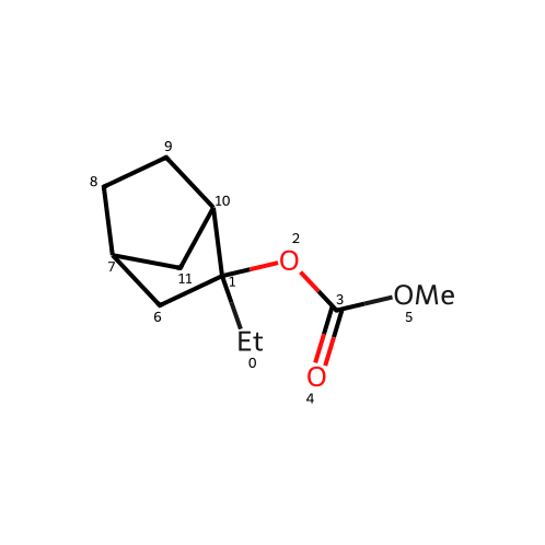 CCC1(OC(=O)OC)CC2CCC1C2